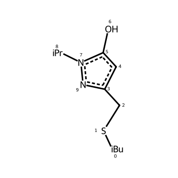 CCC(C)SCc1cc(O)n(C(C)C)n1